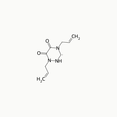 C=CCN1[CH]NN(CC=C)C(=O)C1=O